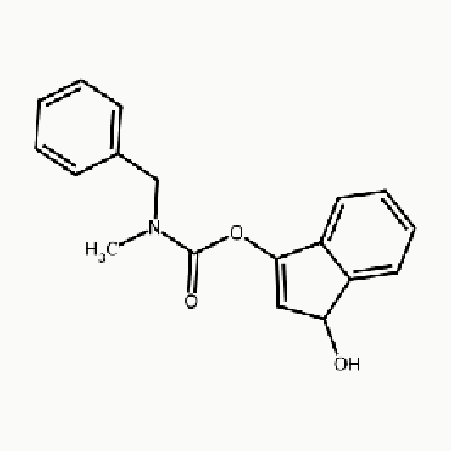 CN(Cc1ccccc1)C(=O)OC1=CC(O)c2ccccc21